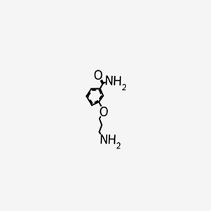 NCCCOc1cccc(C(N)=O)c1